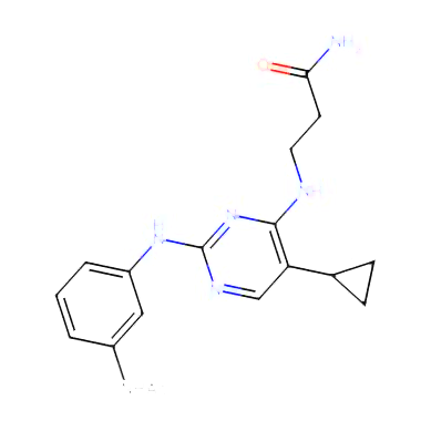 CC(=O)Nc1cccc(Nc2ncc(C3CC3)c(NCCC(N)=O)n2)c1